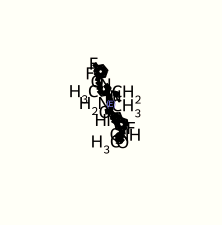 C=NN(/C(N)=C(\C)C(=O)c1cc2cc(F)c(NS(C)(=O)=O)cc2[nH]1)c1cnc(Oc2cccc(F)c2F)c(C)c1